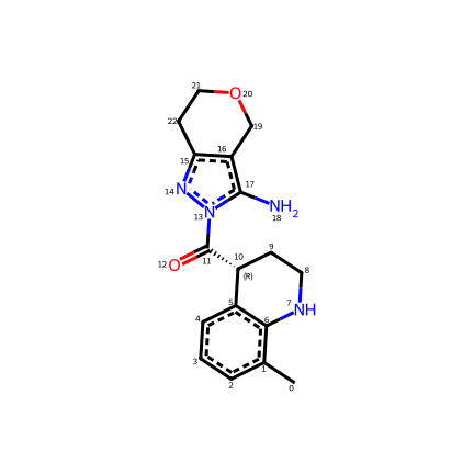 Cc1cccc2c1NCC[C@H]2C(=O)n1nc2c(c1N)COCC2